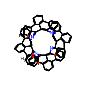 CC1=Cc2nc1c(-c1c(-c3ccccc3)cccc1-c1ccccc1)c1c(C)c(C)c(c(-c3c(-c4ccccc4)cccc3-c3ccccc3)c3nc(c(-c4c(-c5ccccc5)cccc4-c4ccccc4)c4ccc([nH]4)c2-c2c(-c4ccccc4)cccc2-c2ccccc2)C=C3)n1C